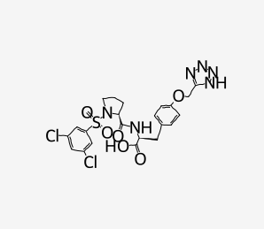 O=C(O)[C@H](Cc1ccc(OCc2nnn[nH]2)cc1)NC(=O)[C@@H]1CCCN1S(=O)(=O)c1cc(Cl)cc(Cl)c1